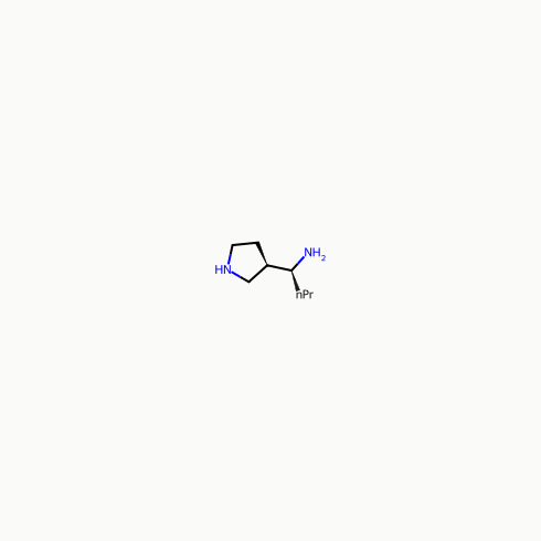 CCC[C@H](N)[C@@H]1CCNC1